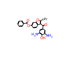 CCCc1oc2cc(OC(=O)c3ccccc3)ccc2c1C(=O)c1cc(N)c(O)c(N)c1